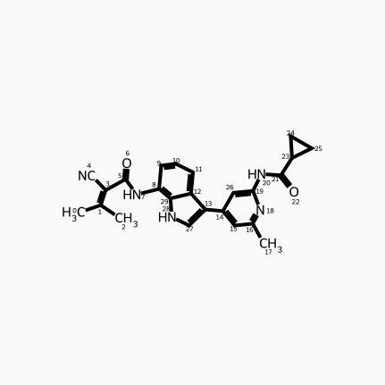 CC(C)=C(C#N)C(=O)Nc1cccc2c(-c3cc(C)nc(NC(=O)C4CC4)c3)c[nH]c12